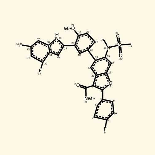 CNC(=O)c1c(-c2ccc(F)cc2)oc2cc(N(C)S(C)(=O)=O)c(-c3ccc(OC)c(-c4cc5c(F)cc(F)cc5[nH]4)c3)cc12